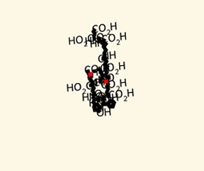 O=C(O)CCC(NC(=O)NC(CCCCNC(=O)CCCCCCC(=O)NCCCCC(NC(=O)C(Cc1ccccc1)NC(=O)C(Cc1ccc(O)c(I)c1)NC(=O)CCC(C(=O)O)N1CCN(CC(=O)O)CCN(CC(=O)O)CCN(CC(=O)O)CC1)C(=O)O)C(=O)O)C(=O)O